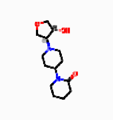 O=C1CCCCN1C1CCN([C@H]2COC[C@@H]2O)CC1